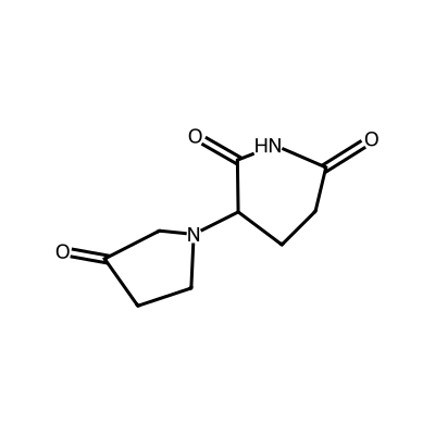 O=C1CCN(C2CCC(=O)NC2=O)C1